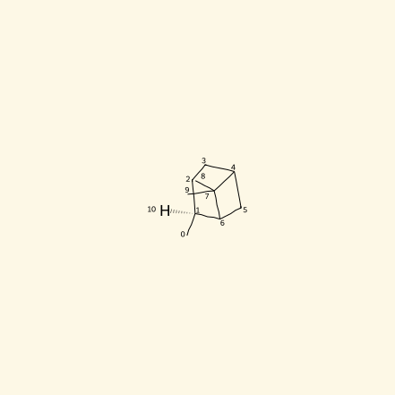 C[C@H]1CCC2CC1C2(C)C